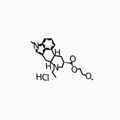 CCN1C[C@H](C(=O)OCCOC)C[C@@H]2c3cccc4c3c(cn4C)C[C@H]21.Cl